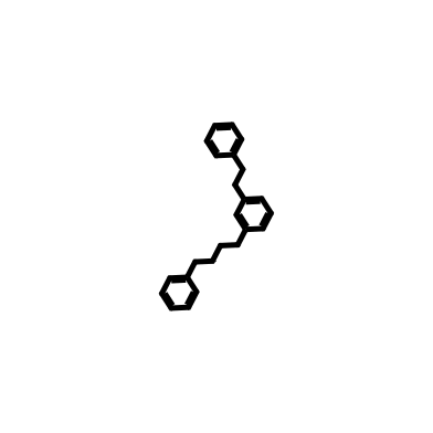 [CH](CCc1cccc(CCc2ccccc2)c1)Cc1ccccc1